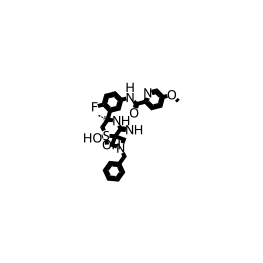 COc1ccc(C(=O)Nc2ccc(F)c([C@]3(C)CS(O)(O)C4(CN(Cc5ccccc5)C4)C(=N)N3)c2)nc1